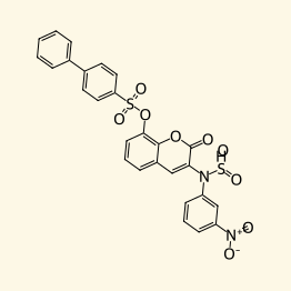 O=c1oc2c(OS(=O)(=O)c3ccc(-c4ccccc4)cc3)cccc2cc1N(c1cccc([N+](=O)[O-])c1)[SH](=O)=O